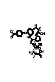 C[C@H](N)C(=O)O.C[C@H](N)C(=O)O.C[C@H](Nc1ccccc1)C(=O)O.O=C(O)[C@@H]1CCCN1.O=[N+]([O-])c1ccc(O)cc1